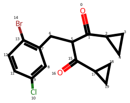 O=C(C1CC1)C(Cc1cc(Cl)ccc1Br)C(=O)C1CC1